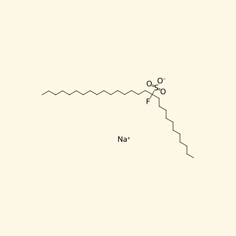 CCCCCCCCCCCCCCCCC(F)(CCCCCCCCCCC)S(=O)(=O)[O-].[Na+]